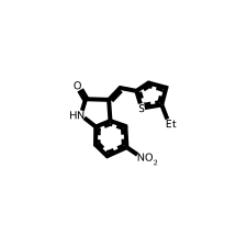 CCc1ccc(/C=C2/C(=O)Nc3ccc([N+](=O)[O-])cc32)s1